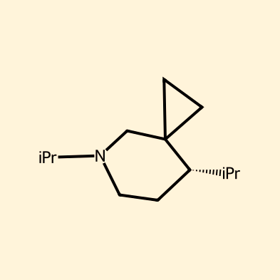 CC(C)[C@@H]1CCN(C(C)C)CC12CC2